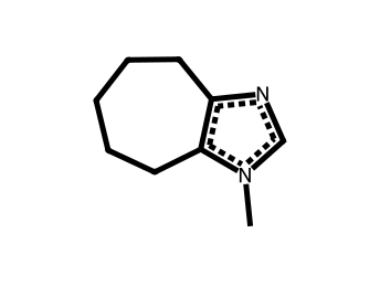 Cn1cnc2c1CCCCC2